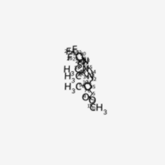 CCOC(=O)Cc1cc(C)cc(CN2CCN(c3nc4ccc(C(F)(F)F)cc4s3)[C@H](C(C)C)C2)c1